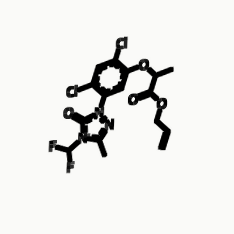 C=CCOC(=O)C(C)Oc1cc(-n2nc(C)n(C(F)F)c2=O)c(Cl)cc1Cl